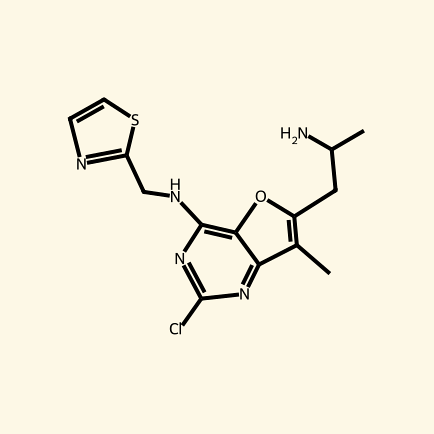 Cc1c(CC(C)N)oc2c(NCc3nccs3)nc(Cl)nc12